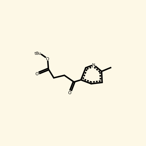 Cc1ccc(C(=O)CCC(=O)OC(C)(C)C)cn1